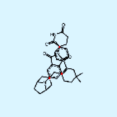 CC1(C)CCC(CN2CC3CCC(C2)N3c2ccc3c(c2)C(=O)N(C2CCC(=O)NC2=O)C3=O)=C(c2ccc(Cl)cc2)C1